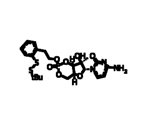 CC(C)(C)SSc1ccccc1CCOP1(=O)OC[C@H]2O[C@@H](n3ccc(N)nc3=O)[C@](C)(O)[C@@H]2O1